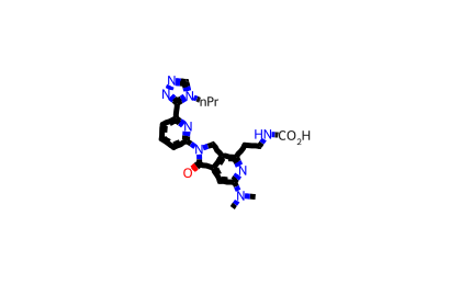 CCCn1cnnc1-c1cccc(N2Cc3c(cc(N(C)C)nc3CCNC(=O)O)C2=O)n1